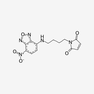 O=C1C=CC(=O)N1CCCCNc1ccc([N+](=O)[O-])c2nonc12